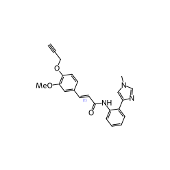 C#CCOc1ccc(/C=C/C(=O)Nc2ccccc2-c2cn(C)cn2)cc1OC